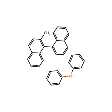 Cc1ccc2ccccc2c1-c1cccc2ccccc12.c1ccc(Pc2ccccc2)cc1